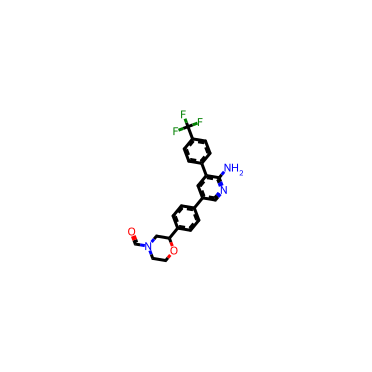 Nc1ncc(-c2ccc(C3CN(C=O)CCO3)cc2)cc1-c1ccc(C(F)(F)F)cc1